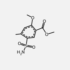 COC(=O)c1cc(S(N)(=O)=O)c(C)cc1OC